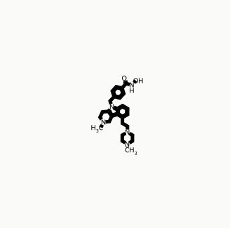 CN1CCN(CCc2cccc3c2c2c(n3Cc3ccc(C(=O)NO)cc3)CCN(C)C2)CC1